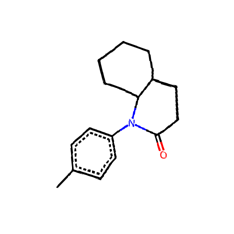 Cc1ccc(N2C(=O)CCC3CCCCC32)cc1